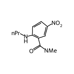 CCCNc1ccc([N+](=O)[O-])cc1C(=O)NC